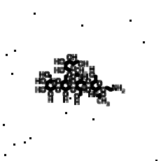 CC(=O)NC1[C@H](OCCN)OC(CO)[C@@H](O[C@@H]2OC(CO)[C@@H](O[C@@H]3OC(CO[C@H]4OC(CO)[C@@H](O)[C@@H](O)C4O)[C@@H](O)[C@H](O[C@H]4O[C@@H](CO)[C@@H](O)C(O)C4O)C3O)[C@@H](O)C2NC(C)=O)[C@@H]1O